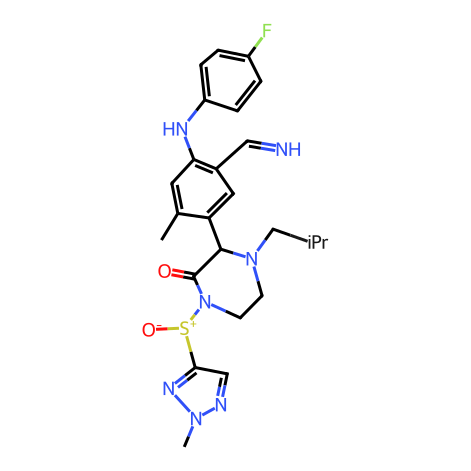 Cc1cc(Nc2ccc(F)cc2)c(C=N)cc1C1C(=O)N([S+]([O-])c2cnn(C)n2)CCN1CC(C)C